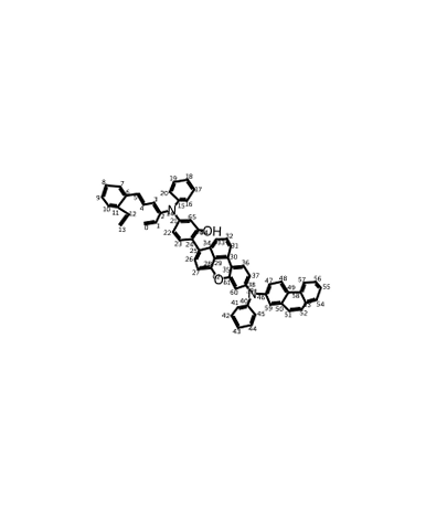 C=C/C(=C\C=C\c1ccccc1C=C)N(c1ccccc1)c1ccc(-c2ccc3c4c(cccc24)-c2ccc(N(c4ccccc4)c4ccc5c(ccc6ccccc65)c4)cc2O3)c(O)c1